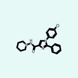 O=C(NN1CCCCC1)c1cn(-c2ccc(Cl)cc2)c(-c2ccccc2)n1